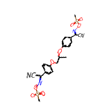 CC(COc1ccc(/C(C#N)=N/OS(C)(=O)=O)cc1)Oc1ccc(/C(C#N)=N/OS(C)(=O)=O)cc1